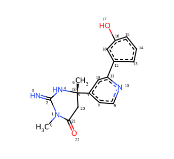 CN1C(=N)N[C@](C)(c2ccnc(-c3cccc(O)c3)c2)CC1=O